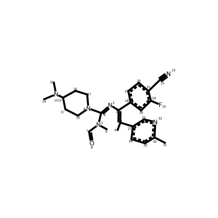 C/C(=C(\N=C(/N(C)C=O)N1CCC(N(C)C)CC1)c1ccc(C#N)c(F)c1)c1ccc(C)nc1